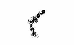 CCc1c(NC(=O)OCCCN2CCN(CCS(C)(=O)=O)CC2)cn2ncnc(Nc3ccc4c(cnn4Cc4ccccc4)c3)c12